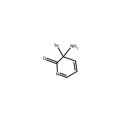 [2H]C1(N)C=CC=NC1=O